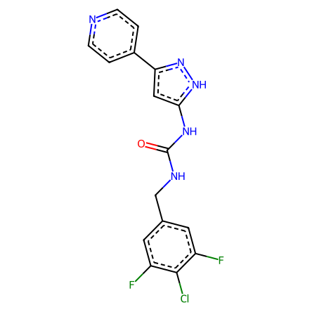 O=C(NCc1cc(F)c(Cl)c(F)c1)Nc1cc(-c2ccncc2)n[nH]1